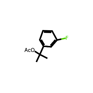 CC(=O)OC(C)(C)c1cccc(F)c1